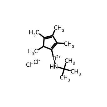 CC1=C(C)C(C)[C]([Ti+2][NH]C(C)(C)C)=C1C.[Cl-].[Cl-]